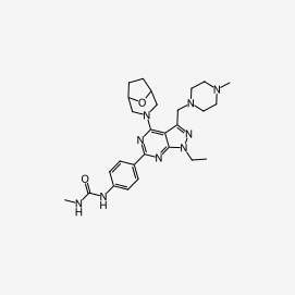 CCn1nc(CN2CCN(C)CC2)c2c(N3CC4CCC(C3)O4)nc(-c3ccc(NC(=O)NC)cc3)nc21